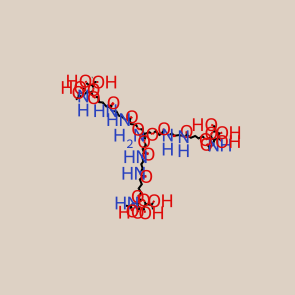 CC(=O)NC1C(OCCCCC(=O)NCCCNC(=O)CCOCC(N)(COCCC(=O)NCCCNC(=O)CCCCOC(OC(CO)[C@H](C)O)[C@@H](CO)NC(C)=O)COCCC(=O)NCCCNC(=O)CCCCOC(OC(CO)[C@H](C)O)[C@@H](CO)NC(C)=O)OC(CO)C(O)C1O